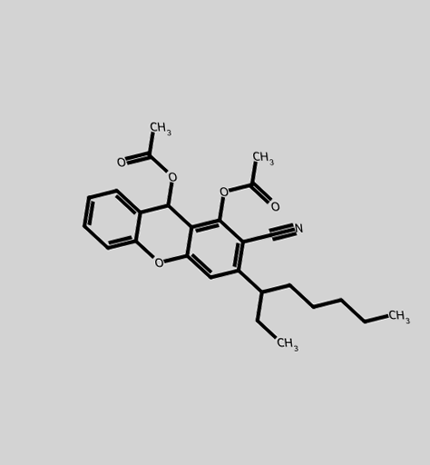 CCCCCC(CC)c1cc2c(c(OC(C)=O)c1C#N)C(OC(C)=O)c1ccccc1O2